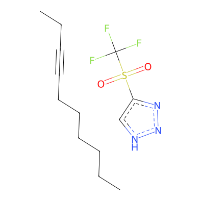 CCC#CCCCCCC.O=S(=O)(c1c[nH]nn1)C(F)(F)F